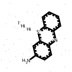 I.I.Nc1ccc2nc3ccccc3[s+]c2c1.[I-]